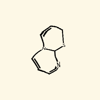 C1=CN2C=CCSC2N=C1